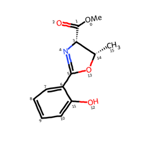 COC(=O)[C@H]1N=C(c2ccccc2O)O[C@H]1C